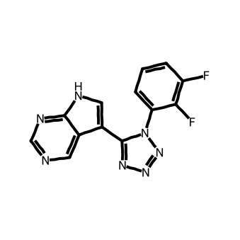 Fc1cccc(-n2nnnc2-c2c[nH]c3ncncc23)c1F